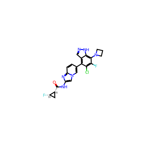 O=C(Nc1cn2cc(-c3c(Cl)c(F)c(N4CCC4)c4[nH]ncc34)ccc2n1)[C@@H]1C[C@@H]1F